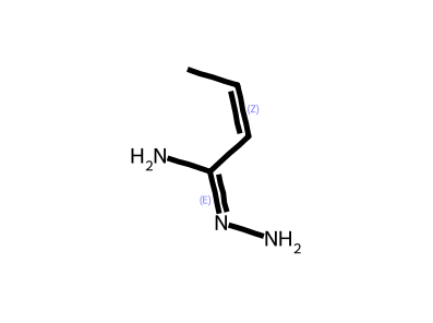 C/C=C\C(N)=N/N